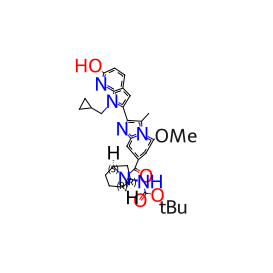 COc1cc(C(=O)N2[C@H]3CC[C@@H]2[C@H](NC(=O)OC(C)(C)C)C3)cc2nc(-c3cc4ccc(O)nc4n3CC3CC3)c(C)n12